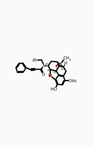 CC(=O)Oc1cc(O)c2c3c1C[C@@H]1[C@@H]4CC[C@H](N(CC(C)C)C(=O)C#Cc5ccccc5)[C@H](O2)[C@]34CCN1C